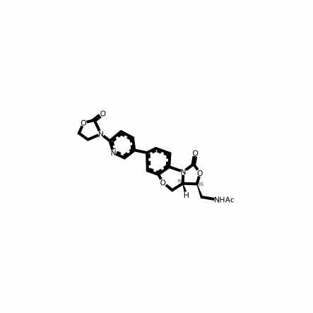 CC(=O)NC[C@@H]1OC(=O)N2c3ccc(-c4ccc(N5CCOC5=O)nc4)cc3OC[C@@H]12